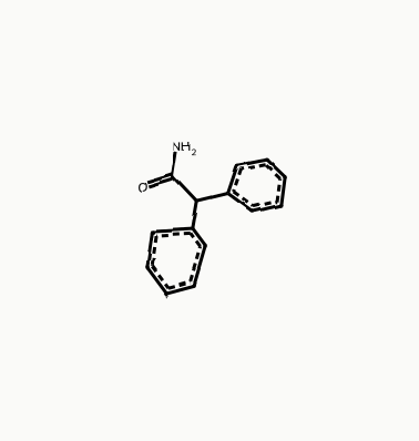 NC(=O)C(c1cc[c]cc1)c1ccccc1